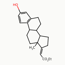 CCOC(=O)C=C1CCC2C3CCc4cc(O)ccc4C3CCC12C